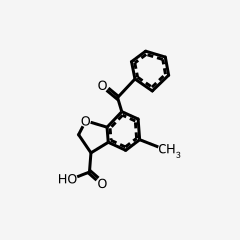 Cc1cc(C(=O)c2ccccc2)c2c(c1)C(C(=O)O)CO2